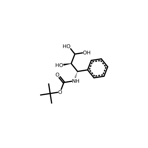 CC(C)(C)OC(=O)N[C@@H](c1ccccc1)[C@@H](O)C(O)O